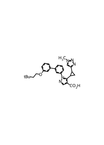 Cn1cc(C2CC2c2c(C(=O)O)cnn2-c2cccc(-c3cccc(OCCC(C)(C)C)c3)c2)nn1